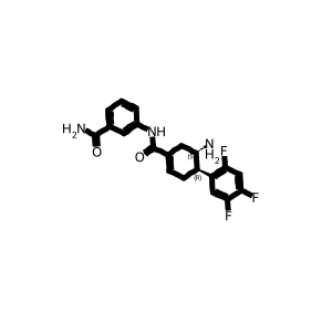 NC(=O)c1cccc(NC(=O)C2=CC[C@H](c3cc(F)c(F)cc3F)[C@@H](N)C2)c1